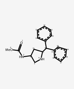 COC(=O)NC1CNC(C(c2ccccc2)c2ccccc2)C1